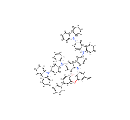 CC(C)c1cc2c3c(c1)-n1c4ccc(-n5c6ccccc6c6cc(-n7c8ccccc8c8ccccc87)ccc65)cc4c4cc(-n5c6ccccc6c6cc(-n7c8ccccc8c8ccccc87)ccc65)cc(c41)B3c1ccc(-c3ccccc3)cc1O2